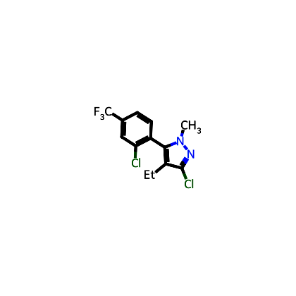 CCc1c(Cl)nn(C)c1-c1ccc(C(F)(F)F)cc1Cl